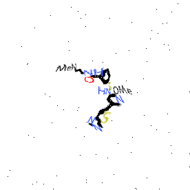 CNCCCNC(=O)c1cccc(SNc2cc(-c3cc4ncncc4s3)cnc2OC)c1